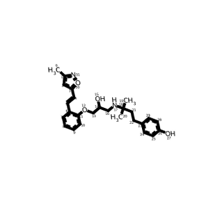 Cc1cc(C=Cc2ccccc2OCC(O)CNC(C)(C)CCc2ccc(O)cc2)on1